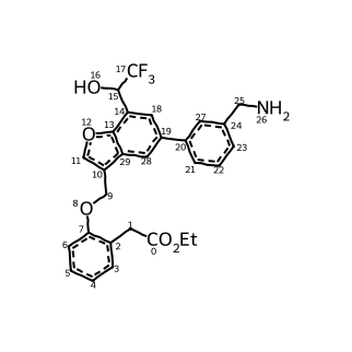 CCOC(=O)Cc1ccccc1OCc1coc2c(C(O)C(F)(F)F)cc(-c3cccc(CN)c3)cc12